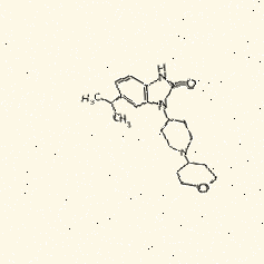 CC(C)c1ccc2[nH]c(=O)n(C3CCN(C4CCOCC4)CC3)c2c1